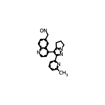 Cc1cccc(-c2nn3c(c2-c2ccnc4ccc(CN=O)cc24)CCC3)n1